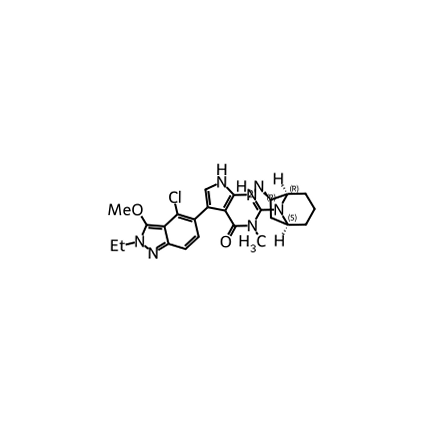 CCn1nc2ccc(-c3c[nH]c4nc(N5[C@H]6CCC[C@@H]5[C@H](N)C6)n(C)c(=O)c34)c(Cl)c2c1OC